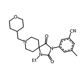 CCN1C(=O)N(c2cc(C)cc(C#N)c2)C(=O)C12CCN(CC1CCOCC1)CC2